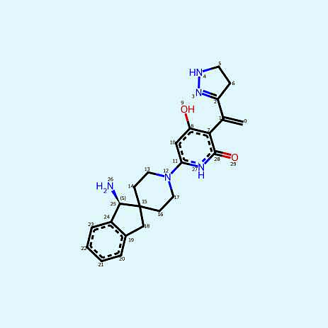 C=C(C1=NNCC1)c1c(O)cc(N2CCC3(CC2)Cc2ccccc2[C@H]3N)[nH]c1=O